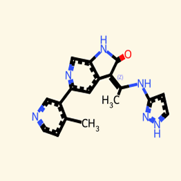 C/C(Nc1cc[nH]n1)=C1/C(=O)Nc2cnc(-c3cnccc3C)cc21